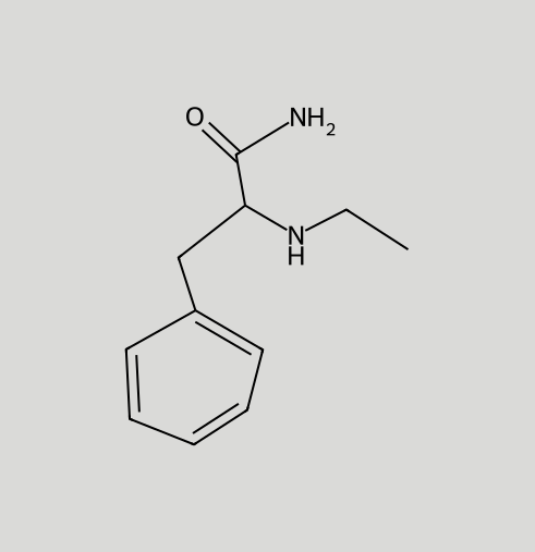 CCNC(Cc1ccccc1)C(N)=O